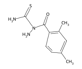 Cc1ccc(C(=O)N(N)C(N)=S)c(C)c1